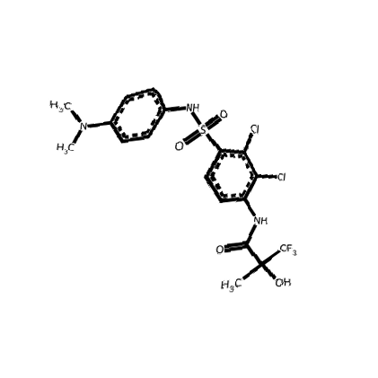 CN(C)c1ccc(NS(=O)(=O)c2ccc(NC(=O)C(C)(O)C(F)(F)F)c(Cl)c2Cl)cc1